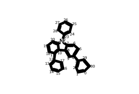 c1ccc(-c2ccc3c(c2)c2c(-c4ccccc4)cccc2n3-c2ccccc2)cc1